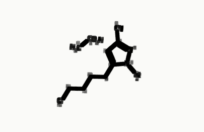 CC(=O)O.CCn1nc(C#N)cc1CCCCCl